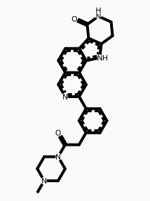 CN1CCN(C(=O)Cc2cccc(-c3cc4c(ccc5c6c([nH]c54)CCNC6=O)cn3)c2)CC1